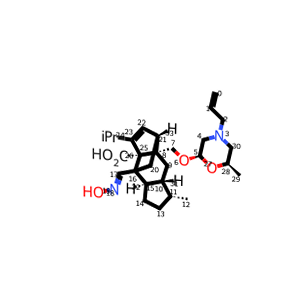 C=CCN1C[C@H](OC[C@@]23C[C@@H]4[C@H](C)CC[C@H]4C4(C=NO)C[C@@H]2C=C(C(C)C)[C@]43C(=O)O)O[C@H](C)C1